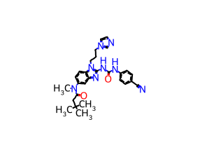 CN(C(=O)CC(C)(C)C)c1ccc2c(c1)nc(NC(=O)Nc1ccc(C#N)cc1)n2CCCn1ccnc1